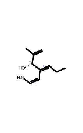 C=C(C)[C@@H](O)C(/C=C\N)=C/CC